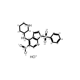 Cl.O=[N+]([O-])c1cnc2c(ccn2S(=O)(=O)c2ccccc2)c1NC1CCCNC1